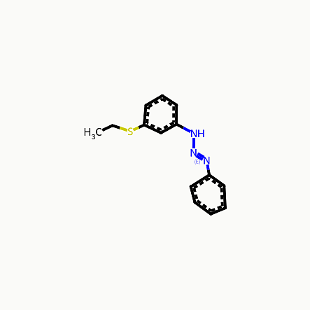 CCSc1cccc(N/N=N/c2ccccc2)c1